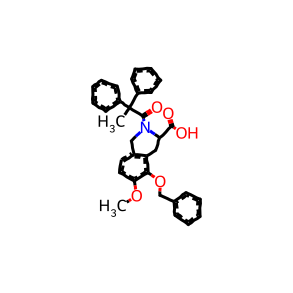 COc1ccc2c(c1OCc1ccccc1)CC(C(=O)O)N(C(=O)C(C)(c1ccccc1)c1ccccc1)C2